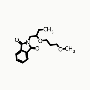 CCC(CN1C(=O)c2ccccc2C1=O)OCCCOC